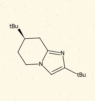 CC(C)(C)c1cn2c(n1)C[C@H](C(C)(C)C)CC2